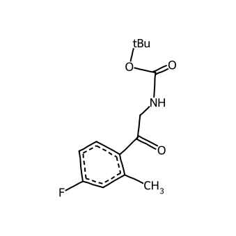 Cc1cc(F)ccc1C(=O)CNC(=O)OC(C)(C)C